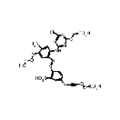 Nc1cc(Nc2nc(Cl)nc(SCC(=O)O)n2)c(N=Nc2ccc(SC#COOS(=O)(=O)O)cc2S(=O)(=O)O)cc1SOOO